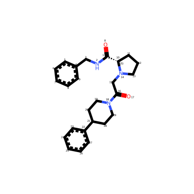 O=C(NCc1ccccc1)[C@@H]1CCCN1CC(=O)N1CCC(c2ccccc2)CC1